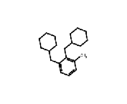 Cc1cccc(CC2CCCCC2)c1CC1CCCCC1